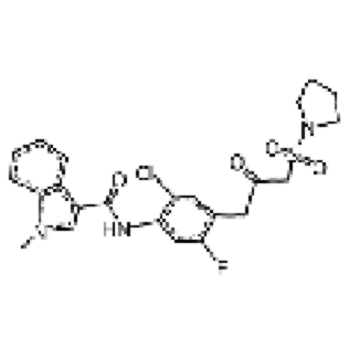 Cn1cc(C(=O)Nc2cc(F)c(CC(=O)CS(=O)(=O)N3C[CH]CC3)cc2Cl)c2ccccc21